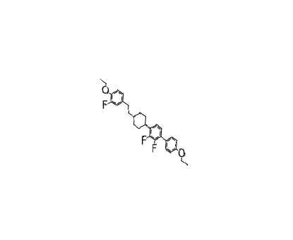 CCOc1ccc(-c2ccc(C3CCC(CCc4ccc(OCC)c(F)c4)CC3)c(F)c2F)cc1